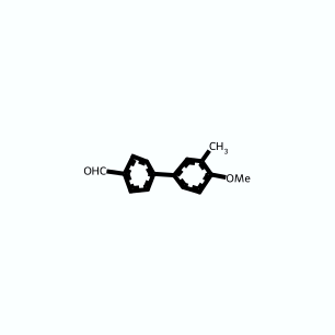 COc1ccc(-c2ccc(C=O)cc2)cc1C